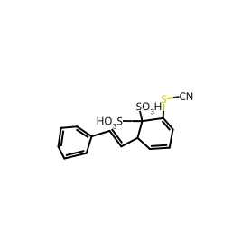 N#CSC1=CC=CC(C=Cc2ccccc2)C1(S(=O)(=O)O)S(=O)(=O)O